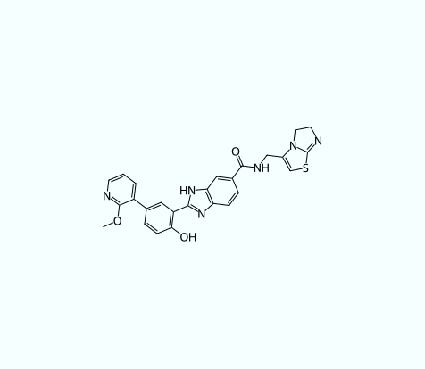 COc1ncccc1-c1ccc(O)c(-c2nc3ccc(C(=O)NCC4=CSC5=NCCN45)cc3[nH]2)c1